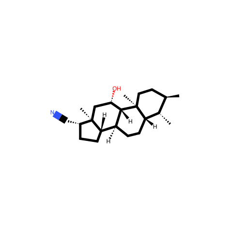 C[C@H]1[C@H](C)CC[C@]2(C)[C@@H]3[C@@H](CC[C@@H]12)[C@@H]1CC[C@H](C#N)[C@@]1(C)C[C@@H]3O